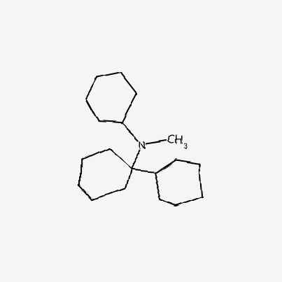 CN(C1CCCCC1)C1(C2CCCCC2)CCCCC1